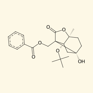 CC(C)(C)O[C@@]12C[C@]3(O)CC[C@]1(C)OC(=O)C32COC(=O)c1ccccc1